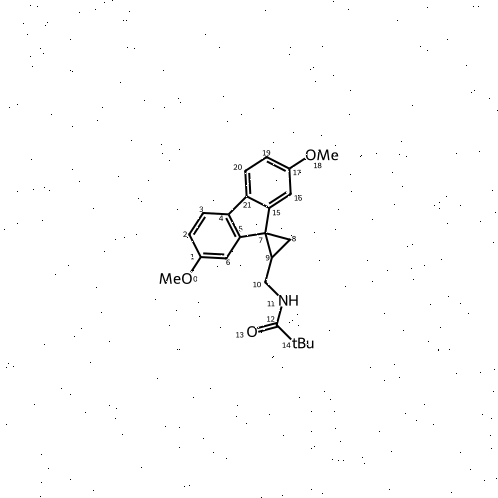 COc1ccc2c(c1)C1(CC1CNC(=O)C(C)(C)C)c1cc(OC)ccc1-2